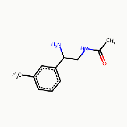 CC(=O)NCC(N)c1cccc(C)c1